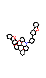 C1=c2cccc(C3CCCCC3)c2=C(c2ccccc2N(c2cccc(-c3ccc4c(c3)oc3ccccc34)c2)c2cccc(-c3cccc4c3oc3ccccc34)c2)CC1